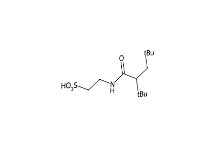 CC(C)(C)CC(C(=O)NCCS(=O)(=O)O)C(C)(C)C